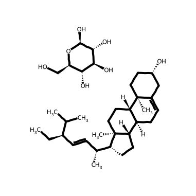 CC[C@H](/C=C/[C@@H](C)[C@H]1CC[C@H]2[C@@H]3CC=C4C[C@@H](O)CC[C@]4(C)[C@H]3CC[C@]12C)C(C)C.OC[C@H]1O[C@@H](O)[C@H](O)[C@@H](O)[C@@H]1O